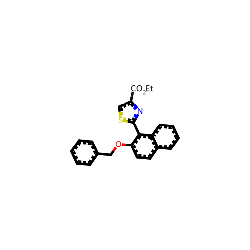 CCOC(=O)c1csc(-c2c(OCc3ccccc3)ccc3ccccc23)n1